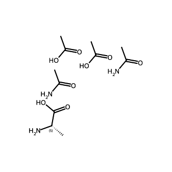 CC(=O)O.CC(=O)O.CC(N)=O.CC(N)=O.C[C@H](N)C(=O)O